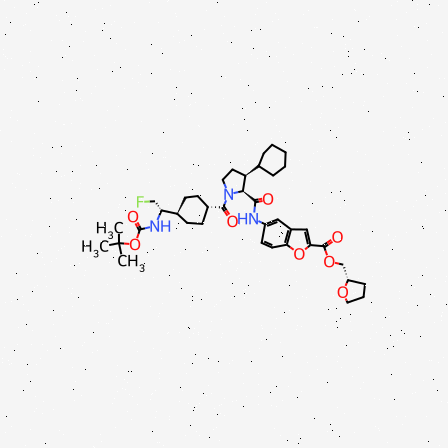 CC(C)(C)OC(=O)N[C@H](CF)[C@H]1CC[C@H](C(=O)N2CC[C@@H](C3CCCCC3)[C@H]2C(=O)Nc2ccc3oc(C(=O)OC[C@@H]4CCCO4)cc3c2)CC1